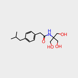 CC(C)Cc1ccc(CC(=O)NC(CO)(CO)CO)cc1